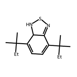 CCC(C)(C)C1=CC=C(C(C)(C)CC)C2NSN=C12